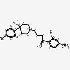 Nc1ccc(C(=O)CCCN2CCC(O)(c3ccc(Cl)cc3)CC2)c(F)c1